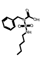 CCCCCNS(=O)(=O)N(Cc1ccccc1)C(=O)O